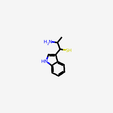 CC(N)C(S)c1c[nH]c2ccccc12